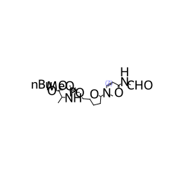 CCCCOC(=O)C(C)N[P@@](OC)OCC1CCC(N(C)/C=C\C(=O)NC=O)O1